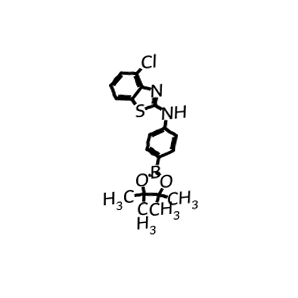 CC1(C)OB(c2ccc(Nc3nc4c(Cl)cccc4s3)cc2)OC1(C)C